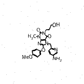 COc1ccc(Oc2nc3c(c(=O)n(CCCO)c(=O)n3C)n2Cc2ccc(N)cn2)cc1